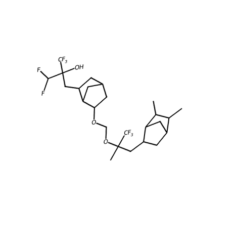 CC1C2CC(CC(C)(OCOC3CC4CC(CC(O)(C(F)F)C(F)(F)F)C3C4)C(F)(F)F)C(C2)C1C